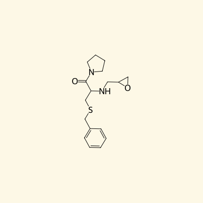 O=C(C(CSCc1ccccc1)NCC1CO1)N1CCCC1